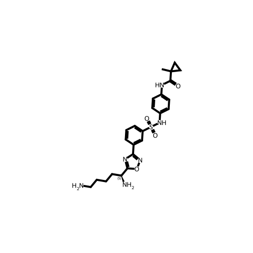 CC1(C(=O)Nc2ccc(NS(=O)(=O)c3cccc(-c4noc([C@@H](N)CCCCN)n4)c3)cc2)CC1